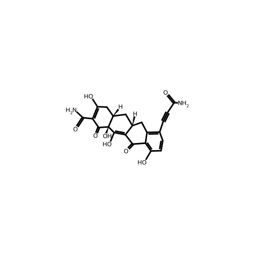 NC(=O)C#Cc1ccc(O)c2c1C[C@H]1C[C@H]3CC(O)=C(C(N)=O)C(=O)[C@@]3(O)C(O)=C1C2=O